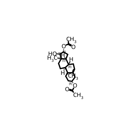 CC(=O)O[C@@H]1CC[C@@]2(C)C(=CC[C@H]3[C@@H]4C[C@@H](OC(C)=O)[C@H](O)[C@@]4(C)CC[C@@H]32)C1